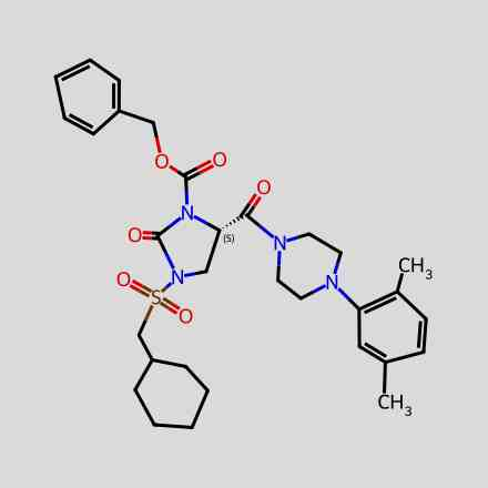 Cc1ccc(C)c(N2CCN(C(=O)[C@@H]3CN(S(=O)(=O)CC4CCCCC4)C(=O)N3C(=O)OCc3ccccc3)CC2)c1